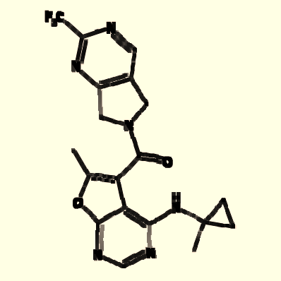 Cc1oc2ncnc(NC3(C)CC3)c2c1C(=O)N1Cc2cnc(C(F)(F)F)nc2C1